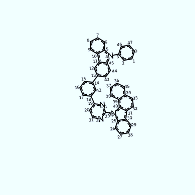 c1ccc(-n2c3ccccc3c3cc(-c4cccc(-c5ccnc(-n6c7ccccc7c7ccc8ccccc8c76)n5)c4)ccc32)cc1